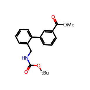 COC(=O)c1cccc(-c2ccccc2CNC(=O)OC(C)(C)C)c1